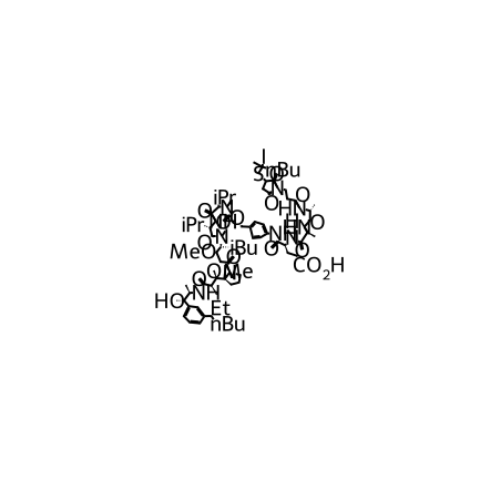 CCCCC(CC)c1cccc([C@H](O)[C@@H](C)NC(=O)[C@H](C)[C@@H](OC)[C@@H]2CCCN2C(=O)C[C@@H](OC)[C@H]([C@@H](C)CC)N(C)C(=O)[C@@H](NC(=O)[C@H](C(C)C)N(C)C(=O)OCc2ccc(NC(=O)[C@H](CCC(=O)O)NC(=O)[C@H](C)NC(=O)[C@@H](C)NC(=O)CCN3C(=O)CC(SC(C)(I)CCCC)C3=O)cc2)C(C)C)c1